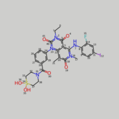 CCn1c(=O)c2c(Nc3ccc(I)cc3F)n(C)c(=O)c(C)c2n(-c2cccc(C(=O)N3CCS(O)(O)CC3)c2)c1=O